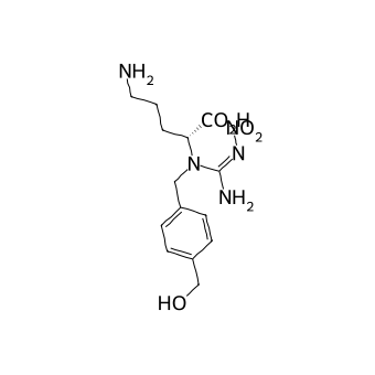 NCCC[C@H](C(=O)O)N(Cc1ccc(CO)cc1)/C(N)=N\[N+](=O)[O-]